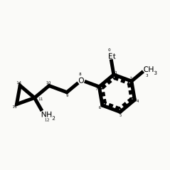 CCc1c(C)cccc1OCCC1(N)CC1